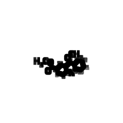 COC(=O)c1ccc2nc3ccccc3c(OC)c2c1